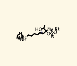 C1=NCCN1.CCCCCCCCCCCCCC/C=C/C(CC)(OS(=O)(=O)OCC)C(C)O